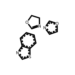 C1=NCCO1.c1ccc2scnc2c1.c1cocn1